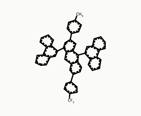 Cc1ccc(-c2cc(-c3cc4ccccc4c4ccccc34)c3cc4cc(-c5ccc(C(F)(F)F)cc5)ccc4c(-c4cc5ccccc5c5ccccc45)c3c2)cc1